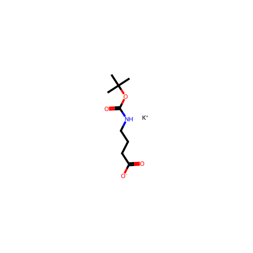 CC(C)(C)OC(=O)NCCCC(=O)[O-].[K+]